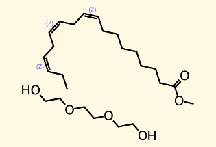 CC/C=C\C/C=C\C/C=C\CCCCCCCC(=O)OC.OCCOCCOCCO